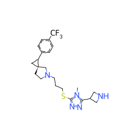 Cn1c(SCCCN2CC[C@]3(CC3c3ccc(C(F)(F)F)cc3)C2)nnc1C1CNC1